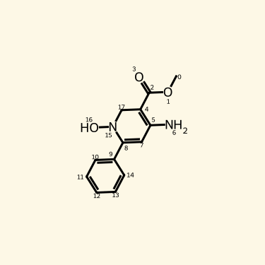 COC(=O)C1=C(N)C=C(c2ccccc2)N(O)C1